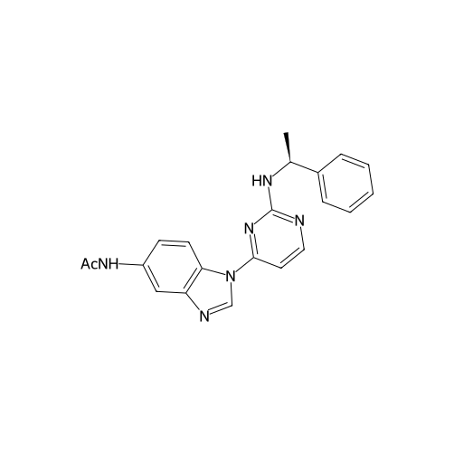 CC(=O)Nc1ccc2c(c1)ncn2-c1ccnc(N[C@@H](C)c2ccccc2)n1